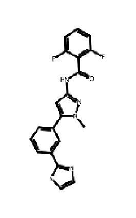 Cn1nc(NC(=O)c2c(F)cccc2F)cc1-c1cccc(-c2nccs2)c1